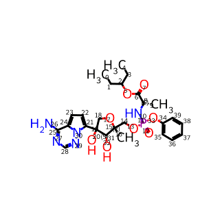 CCC(CC)OC(=O)[C@H](C)NP(=O)(OC[C@@]1(C)OCC(O)(c2ccc3c(N)ncnn23)[C@@H]1O)Oc1ccccc1